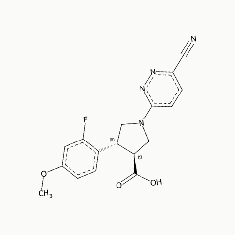 COc1ccc([C@@H]2CN(c3ccc(C#N)nn3)C[C@H]2C(=O)O)c(F)c1